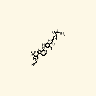 CCc1cc(Nc2ncccc3c(-c4cn(CC#N)nc4C(F)(F)F)cnc2-3)ccc1C(=O)NCCNC(=O)[C@@H](C)N